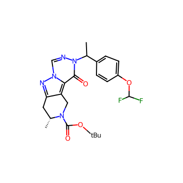 CC(c1ccc(OC(F)F)cc1)n1ncn2nc3c(c2c1=O)CN(C(=O)OC(C)(C)C)[C@H](C)C3